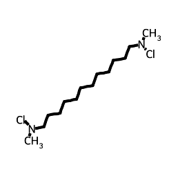 CN(Cl)CCCCCCCCCCCCN(C)Cl